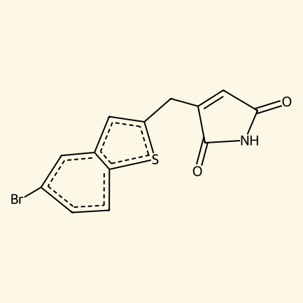 O=C1C=C(Cc2cc3cc(Br)ccc3s2)C(=O)N1